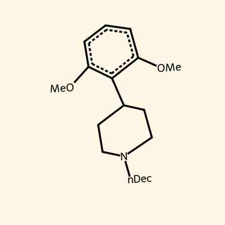 CCCCCCCCCCN1CCC(c2c(OC)cccc2OC)CC1